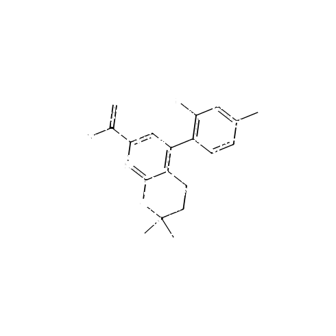 C=C(N)c1cc(-c2ccc(C)cc2F)c2c(n1)OC(C)(C)CC2